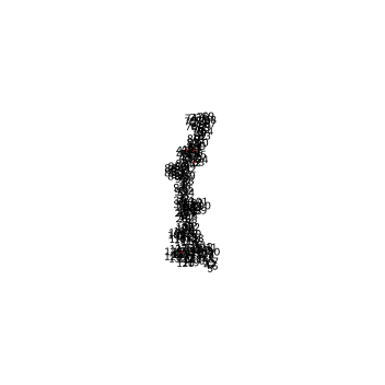 CC1(C)c2ccccc2-c2cccc(-c3cc(-c4ccc5c6ccc(-c7ccc8c9ccc(-c%10ccc(-c%11ccc%12c%13ccc(-c%14cccc%15c%14c%14ccccc%14n%15-c%14ccc(-c%15ccc%16c%17ccccc%17c%17ccccc%17c%16c%15)cc%14)cc%13c%13ccccc%13c%12c%11)cc%10)cc9n(-c9ccccc9)c8c7)cc6c6ccccc6c5c4)cc(-c4cccc5c4C(C)(C)c4ccccc4-5)c3)c21